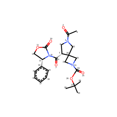 CC(=O)N1C[C@@H](C(=O)N2C(=O)OC[C@H]2c2ccccc2)C2(C1)CN(C(=O)OC(C)(C)C)C2